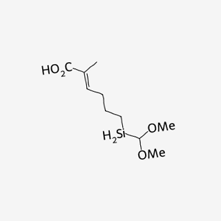 COC(OC)[SiH2]CCC/C=C(\C)C(=O)O